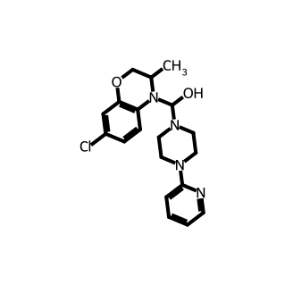 CC1COc2cc(Cl)ccc2N1C(O)N1CCN(c2ccccn2)CC1